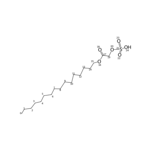 CCCCCCCCCCCCCCCCOC(=O)COS(=O)(=O)O